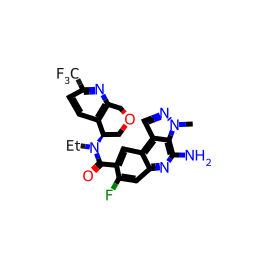 CCN(C(=O)c1cc2c(cc1F)nc(N)c1c2cnn1C)[C@@H]1COCc2nc(C(F)(F)F)ccc21